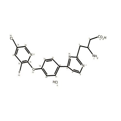 Cl.NC(CC(=O)O)Cc1nccc(-c2ccc(Oc3ncc(Cl)cc3F)cc2)n1